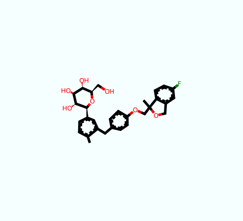 Cc1ccc([C@@H]2O[C@H](CO)[C@@H](O)[C@H](O)[C@H]2O)cc1Cc1ccc(OCC2(C)OCc3cc(F)ccc32)cc1